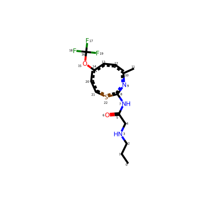 CCCNCC(=O)Nc1nc(C)ccc(OC(F)(F)F)ccs1